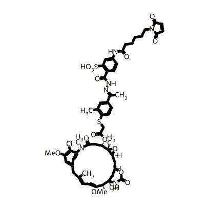 COc1cc2cc(c1Cl)N(C)C(=O)C[C@H](OC(=O)CSc1ccc(/C(C)=N/NC(=O)c3ccc(NC(=O)CCCCCN4C(=O)C=CC4=O)cc3S(=O)(=O)O)cc1C)[C@]1(C)O[C@H]1C[C@@H]1C[C@@](O)(NC(=O)O1)[C@H](OC)/C=C/C=C(\C)C2